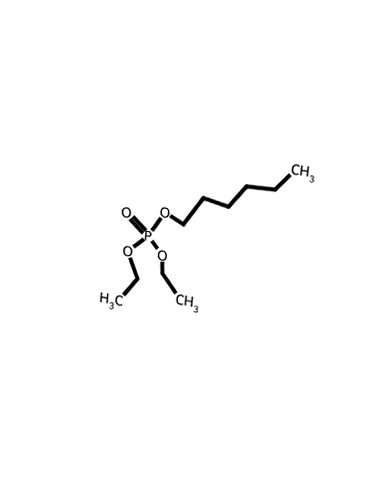 CCCCCCOP(=O)(OCC)OCC